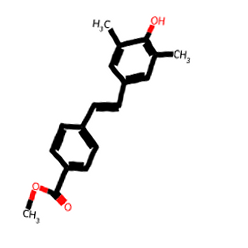 COC(=O)c1ccc(/C=C/c2cc(C)c(O)c(C)c2)cc1